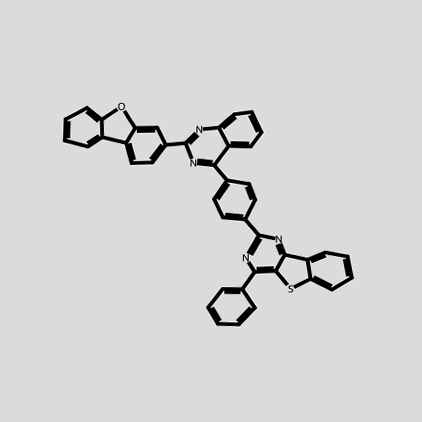 c1ccc(-c2nc(-c3ccc(-c4nc(-c5ccc6c(c5)oc5ccccc56)nc5ccccc45)cc3)nc3c2sc2ccccc23)cc1